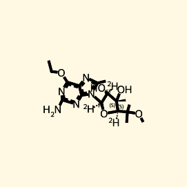 [2H][C@]1(O)[C@](C)(O)[C@@]([2H])(C(C)(C)OC)O[C@@]1([2H])n1c(C)nc2c(OCC)nc(N)nc21